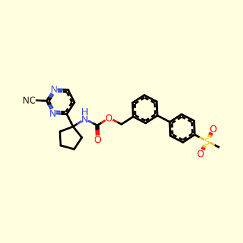 CS(=O)(=O)c1ccc(-c2cccc(COC(=O)NC3(c4ccnc(C#N)n4)CCCC3)c2)cc1